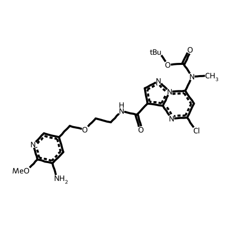 COc1ncc(COCCNC(=O)c2cnn3c(N(C)C(=O)OC(C)(C)C)cc(Cl)nc23)cc1N